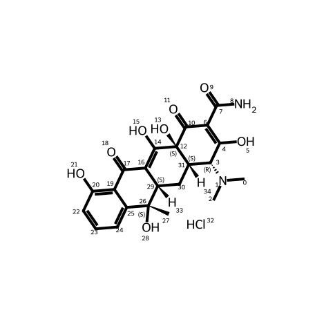 CN(C)[C@H]1C(O)=C(C(N)=O)C(=O)[C@@]2(O)C(O)=C3C(=O)c4c(O)cccc4[C@@](C)(O)[C@H]3C[C@@H]12.Cl